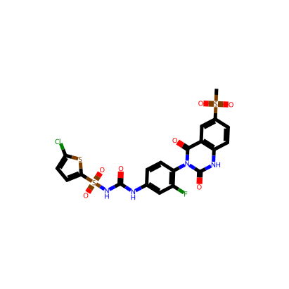 CS(=O)(=O)c1ccc2[nH]c(=O)n(-c3ccc(NC(=O)NS(=O)(=O)c4ccc(Cl)s4)cc3F)c(=O)c2c1